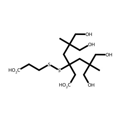 CC(CO)(CO)CC(CC(=O)O)(CC(C)(CO)CO)SSCCC(=O)O